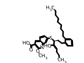 CCCC=C(O)[C@H](CCc1ccccc1CCCCCCCCC)Sc1ccc2cc(C(=O)O)c(OC)nc2c1